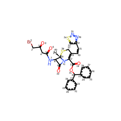 O=C(CBr)CC(=O)NC1C(=O)N2C(C(=O)OC(c3ccccc3)c3ccccc3)=C(/C=C\c3csnn3)CS[C@@H]12